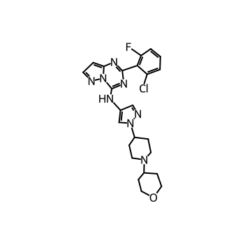 Fc1cccc(Cl)c1-c1nc(Nc2cnn(C3CCN(C4CCOCC4)CC3)c2)n2nccc2n1